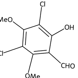 COc1c(Cl)c(O)c(C=O)c(OC)c1Cl